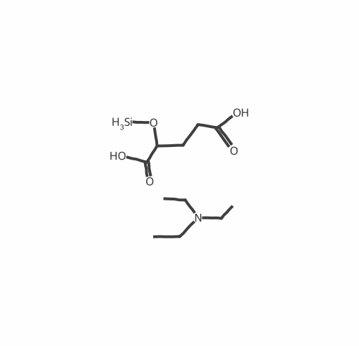 CCN(CC)CC.O=C(O)CCC(O[SiH3])C(=O)O